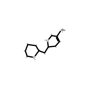 CC(C)(C)C1=CCC(CC2CCCCO2)OC1